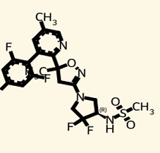 Cc1cnc(C2(C)CC(N3C[C@@H](NS(C)(=O)=O)C(F)(F)C3)=NO2)c(-c2c(F)cc(F)cc2F)c1